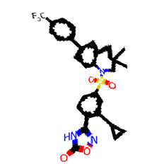 CC1(C)Cc2cc(-c3ccc(C(F)(F)F)cc3)ccc2N(S(=O)(=O)c2ccc(-c3noc(=O)[nH]3)c(C3CC3)c2)C1